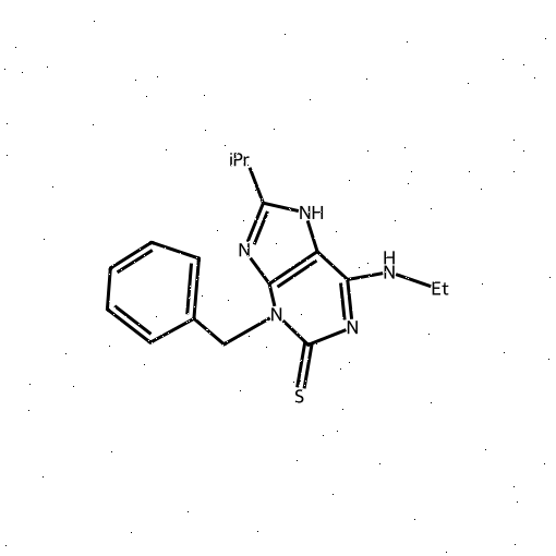 CCNc1nc(=S)n(Cc2ccccc2)c2nc(C(C)C)[nH]c12